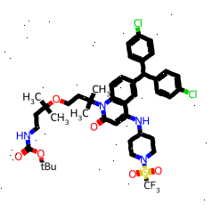 CC(C)(C)OC(=O)NCCC(C)(C)OCCC(C)(C)n1c(=O)cc(NC2CCN(S(=O)(=O)C(F)(F)F)CC2)c2cc(C(c3ccc(Cl)cc3)c3ccc(Cl)cc3)ccc21